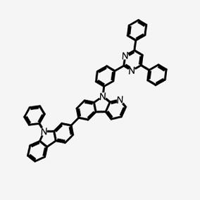 c1ccc(-c2cc(-c3ccccc3)nc(-c3cccc(-n4c5ccc(-c6ccc7c8ccccc8n(-c8ccccc8)c7c6)cc5c5cccnc54)c3)n2)cc1